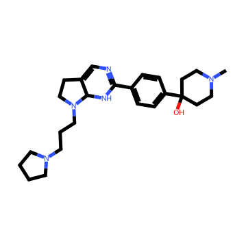 CN1CCC(O)(c2ccc(C3=NC=C4CCN(CCCN5CCCC5)C4N3)cc2)CC1